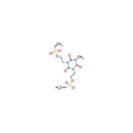 C=CS(=O)(=O)OCCn1c(=O)n(C)c(=O)n(CCOS(=O)(=O)C=C)c1=O